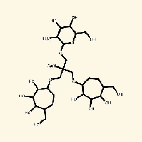 CNC(COC1CCC(CO)C(O)C(O)C1O)(COC1CCC(CO)C(O)C(O)C1O)COC1OC(CO)C(O)C(O)C1C